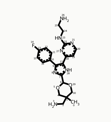 CC1(CN)COC(c2nc(-c3ccc(F)cc3)c(-c3ccnc(NCCN)n3)[nH]2)OC1